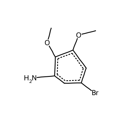 COc1cc(Br)cc(N)c1OC